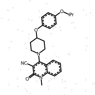 CC(C)Oc1ccc(OC2CCN(c3c(C#N)c(=O)n(C)c4ccccc34)CC2)cc1